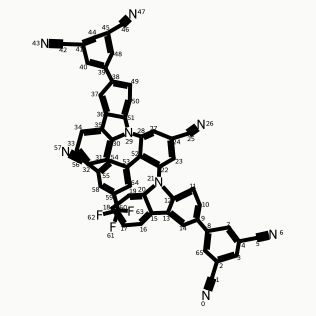 N#Cc1cc(C#N)cc(-c2ccc3c(c2)c2ccccc2n3-c2cc(C#N)cc(-n3c4ccccc4c4cc(-c5cc(C#N)cc(C#N)c5)ccc43)c2-c2cc(C#N)cc(C(F)(F)F)c2)c1